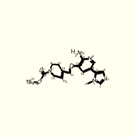 Cn1cncc1-c1cnc(N)c(OCC2CCN(C(=O)OC(C)(C)C)CC2)c1